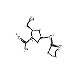 O=C(O)N1CC(OC2CCO2)C[C@@H]1CO